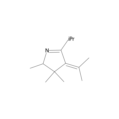 CC(C)=C1C(C(C)C)=NC(C)C1(C)C